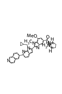 COc1cc(C(=O)N2C[C@H]3CC[C@@H]2[C@@H]3N)cc2nc(-c3cc4ccc(-c5ccc6cnccc6c5)nc4n3CC3CC3)n(C)c12